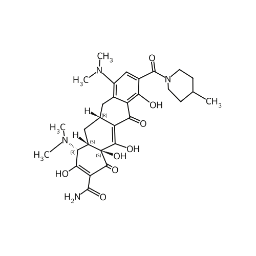 CC1CCN(C(=O)c2cc(N(C)C)c3c(c2O)C(=O)C2=C(O)[C@]4(O)C(=O)C(C(N)=O)=C(O)[C@H](N(C)C)[C@@H]4C[C@@H]2C3)CC1